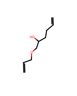 C=CCCC(O)COCC=C